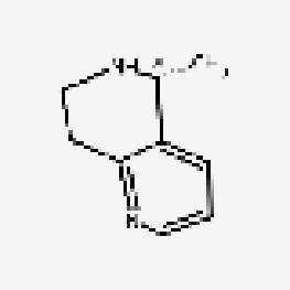 C[C@H]1NCCc2ncccc21